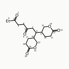 CCC(=O)CCC(=O)CC(C1CCC(=O)OC1)C1CCC(=O)OC1